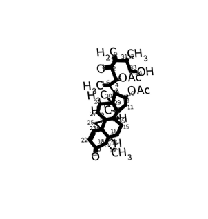 C=C(C(=O)C(OC(C)=O)C(C)[C@H]1[C@@H](OC(C)=O)C[C@@]2(C)[C@@H]3CC[C@H]4[C@H](C)C(=O)C=C[C@@]45C[C@@]35CC[C@]12C)C(C)CO